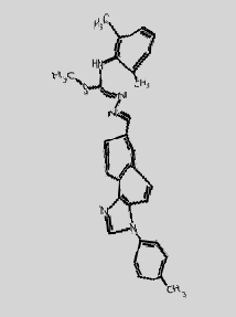 CS/C(=N\N=C\c1ccc2c(ccc3c2ncn3-c2ccc(C)cc2)c1)Nc1c(C)cccc1C